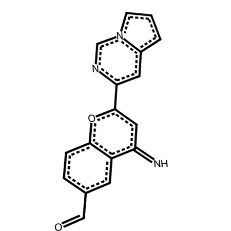 N=c1cc(-c2cc3cccn3cn2)oc2ccc(C=O)cc12